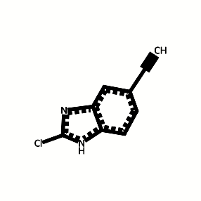 C#Cc1ccc2[nH]c(Cl)nc2c1